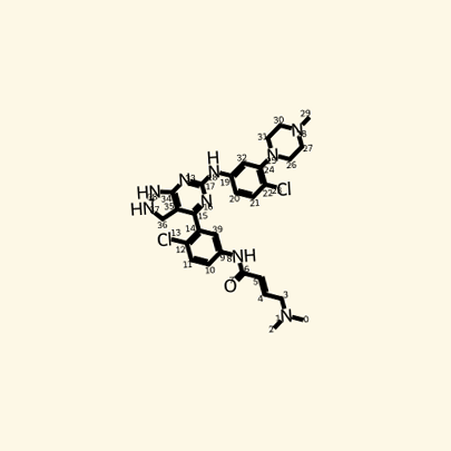 CN(C)C/C=C/C(=O)Nc1ccc(Cl)c(-c2nc(Nc3ccc(Cl)c(N4CCN(C)CC4)c3)nc3c2CNN3)c1